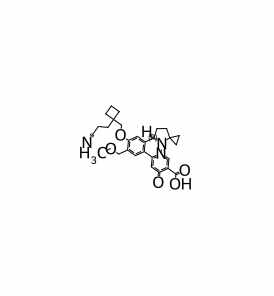 COCc1cc2c(cc1OCC1(CCC#N)CCC1)[C@H]1CCC3(CC3)N1n1cc(C(=O)O)c(=O)cc1-2